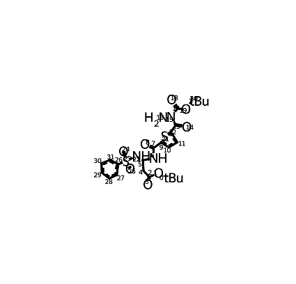 CC(C)(C)OC(=O)CC(NC(=O)c1ccc(C(=O)N(N)C(=O)OC(C)(C)C)s1)NS(=O)(=O)c1ccccc1